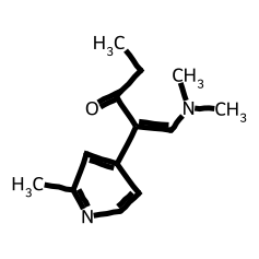 CCC(=O)C(=CN(C)C)c1ccnc(C)c1